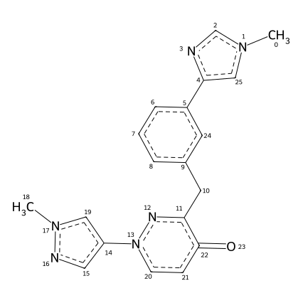 Cn1cnc(-c2cccc(Cc3nn(-c4cnn(C)c4)ccc3=O)c2)c1